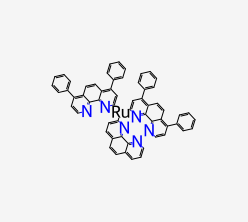 c1ccc(-c2ccnc3c2ccc2c(-c4ccccc4)c[c]([Ru]([c]4ccc5ccc6cccnc6c5n4)[c]4cc(-c5ccccc5)c5ccc6c(-c7ccccc7)ccnc6c5n4)nc23)cc1